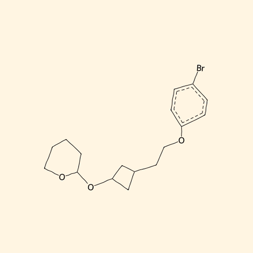 Brc1ccc(OCCC2CC(OC3CCCCO3)C2)cc1